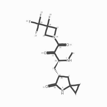 CN[C@@H](C[C@@H]1CC2(CC2)NC1=O)C(=O)C(=O)N1CC(F)(C(F)(F)F)C1